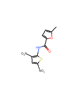 Cc1ccc(C(=O)Nc2sc([N+](=O)[O-])cc2[N+](=O)[O-])o1